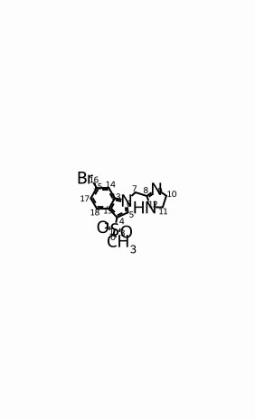 CS(=O)(=O)c1cn(CC2=NCCN2)c2cc(Br)ccc12